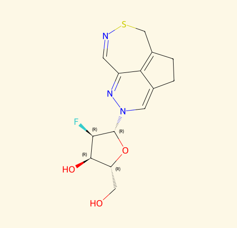 OC[C@H]1O[C@@H](N2C=C3CCC4=C3C(=N2)C=NSC4)[C@H](F)[C@@H]1O